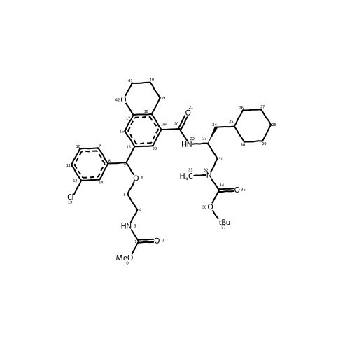 COC(=O)NCCOC(c1cccc(Cl)c1)c1cc2c(c(C(=O)N[C@@H](CC3CCCCC3)CN(C)C(=O)OC(C)(C)C)c1)CCCO2